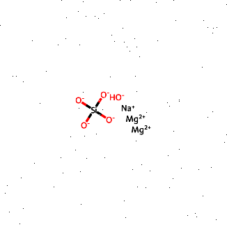 [Mg+2].[Mg+2].[Na+].[O-][Si]([O-])([O-])[O-].[OH-]